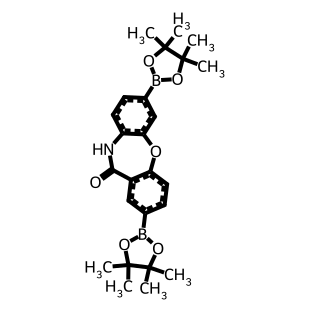 CC1(C)OB(c2ccc3c(c2)Oc2ccc(B4OC(C)(C)C(C)(C)O4)cc2C(=O)N3)OC1(C)C